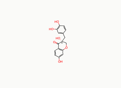 O=C1c2ccc(O)cc2OC[C@]1(O)Cc1ccc(O)c(O)c1